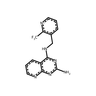 Nc1nc(NCc2cccnc2C(F)(F)F)c2cccnc2n1